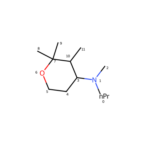 CCCN(C)C1CCOC(C)(C)C1C